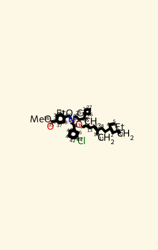 C=C/C=C(\C=C/CC)CC/C(C=C)=C/C=C(\C)COC(CN(CCCC1(C(=O)OCC)CCC1)Cc1ccc(C(=O)OC)cc1)c1cccc(Cl)c1